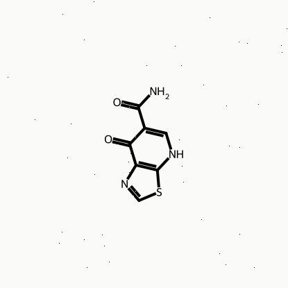 NC(=O)c1c[nH]c2scnc2c1=O